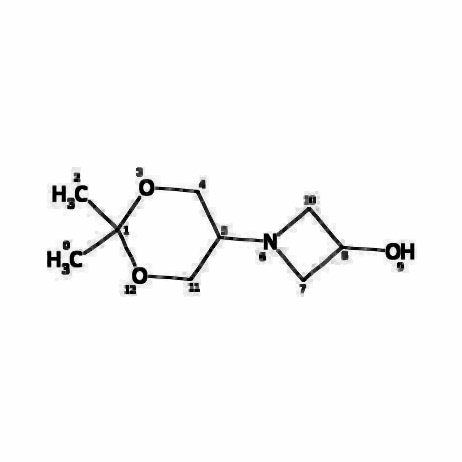 CC1(C)OCC(N2CC(O)C2)CO1